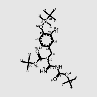 CC(C)(C)OC(=O)NC(=N)N(Cc1ccc(O[Si](C)(C)C(C)(C)C)c(Br)c1)C(=O)OC(C)(C)C